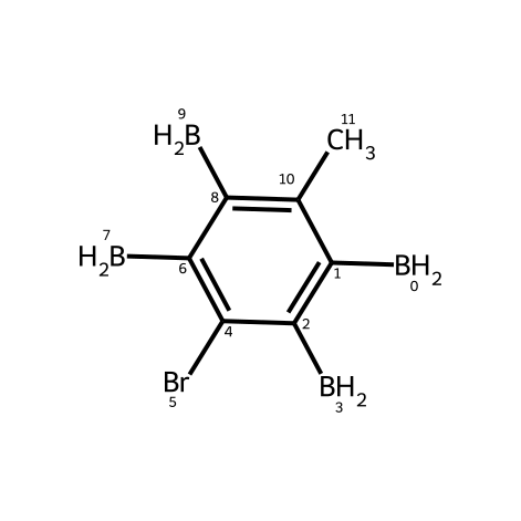 Bc1c(B)c(Br)c(B)c(B)c1C